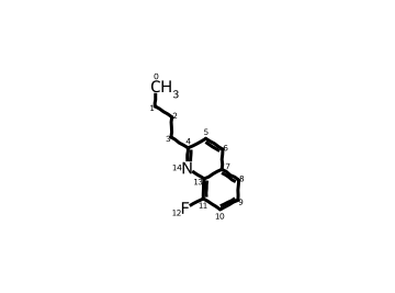 CCCCc1ccc2cccc(F)c2n1